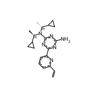 C=Cc1cccc(-c2nc(N)nc(N([C@H](C)C3CC3)[C@H](C)C3CC3)n2)n1